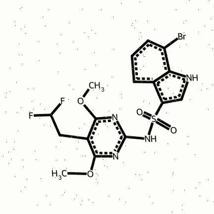 COc1nc(NS(=O)(=O)c2c[nH]c3c(Br)cccc23)nc(OC)c1CC(F)F